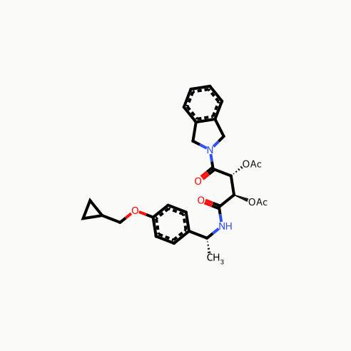 CC(=O)O[C@@H](C(=O)N[C@H](C)c1ccc(OCC2CC2)cc1)[C@@H](OC(C)=O)C(=O)N1Cc2ccccc2C1